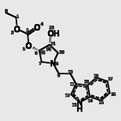 CCOC(=O)O[C@H]1CN(CCc2c[nH]c3ccccc23)C[C@H]1O